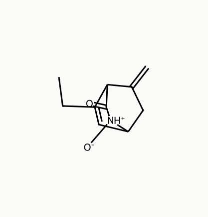 C=C1CC2C=C(CC)C1C(=O)[NH+]2[O-]